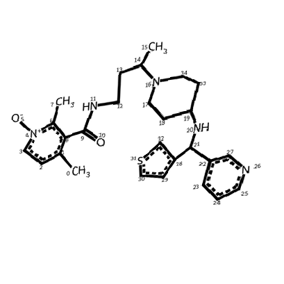 Cc1cc[n+]([O-])c(C)c1C(=O)NCCC(C)N1CCC(NC(c2cccnc2)c2ccsc2)CC1